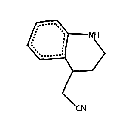 N#CCC1CCNc2ccccc21